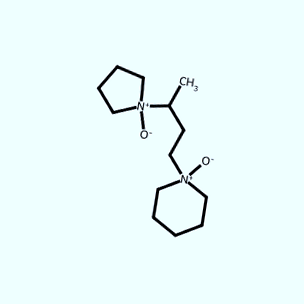 CC(CC[N+]1([O-])CCCCC1)[N+]1([O-])CCCC1